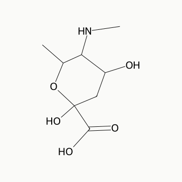 CNC1C(O)CC(O)(C(=O)O)OC1C